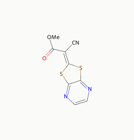 COC(=O)C(C#N)=C1Sc2nccnc2S1